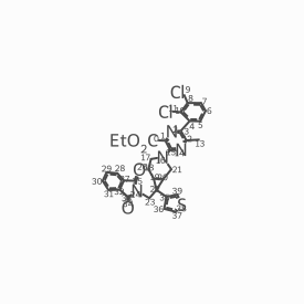 CCOC(=O)c1nc(-c2cccc(Cl)c2Cl)c(C)nc1N1CCC2C(C1)C2(CN1C(=O)c2ccccc2C1=O)c1ccsc1